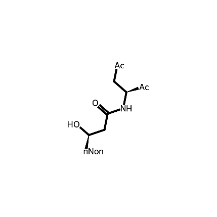 CCCCCCCCC[C@@H](O)CC(=O)N[C@@H](CC(C)=O)C(C)=O